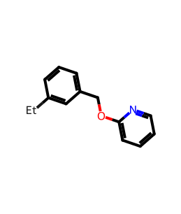 CCc1cccc(COc2ccccn2)c1